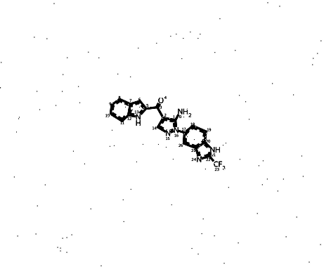 Nc1c(C(=O)c2cc3ccccc3[nH]2)cnn1-c1ccc2[nH]c(C(F)(F)F)nc2c1